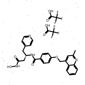 Cc1cc(COc2ccc(C(=O)N[C@@H](CC(=O)NO)Cc3ccncc3)cc2)c2ccccc2n1.O=C(O)C(F)(F)F.O=C(O)C(F)(F)F